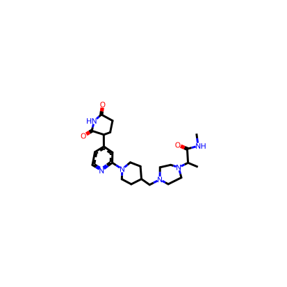 CNC(=O)C(C)N1CCN(CC2CCN(c3cc(C4CCC(=O)NC4=O)ccn3)CC2)CC1